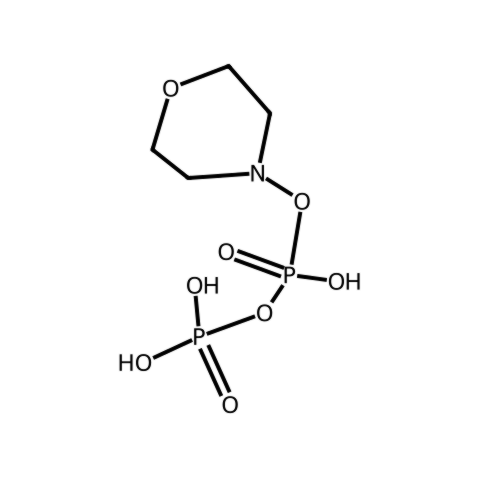 O=P(O)(O)OP(=O)(O)ON1CCOCC1